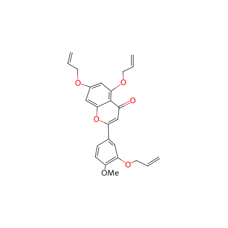 C=CCOc1cc(OCC=C)c2c(=O)cc(-c3ccc(OC)c(OCC=C)c3)oc2c1